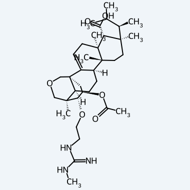 CNC(=N)NCCO[C@H]1[C@H](OC(C)=O)C[C@@]23COC[C@@]1(C)[C@@H]2CC[C@H]1C3=CC[C@@]2(C)[C@H](C(=O)O)[C@@](C)([C@H](C)C(C)C)CC[C@]12C